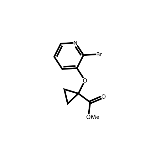 COC(=O)C1(Oc2cccnc2Br)CC1